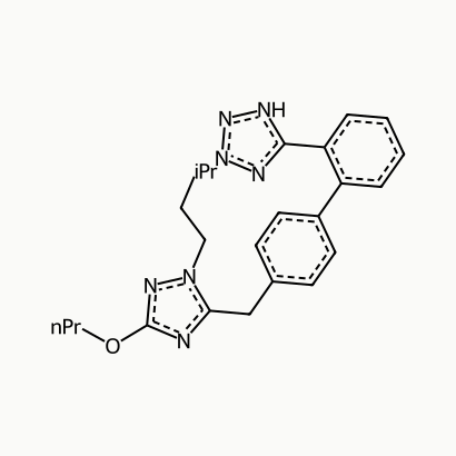 CCCOc1nc(Cc2ccc(-c3ccccc3-c3nnn[nH]3)cc2)n(CCC(C)C)n1